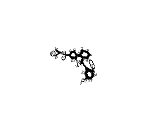 C[n+]1c2c3c(cccc3c3ccc(C(=O)OC4COC4)cc31)Oc1ccc(F)cc1-2